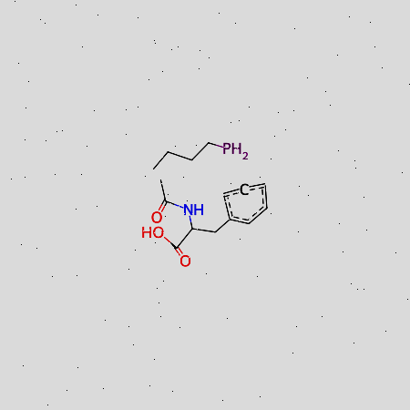 CC(=O)NC(Cc1ccccc1)C(=O)O.CCCCP